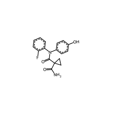 NC(=O)C1(C(=O)N(c2ccc(O)cc2)c2ccccc2F)CC1